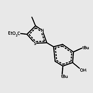 CCOC(=O)c1sc(-c2cc(C(C)(C)C)c(O)c(C(C)(C)C)c2)nc1C